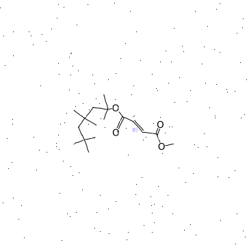 COC(=O)/C=C/C(=O)OC(C)(C)CC(C)(C)CC(C)(C)C